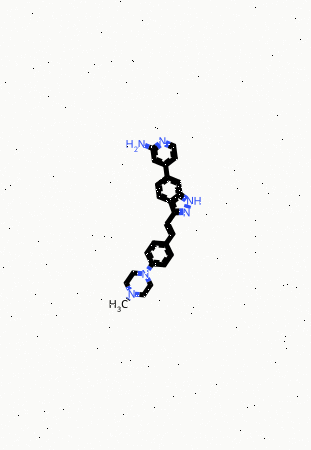 CN1CCN(c2ccc(C=Cc3n[nH]c4cc(-c5ccnc(N)c5)ccc34)cc2)CC1